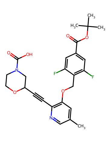 Cc1cnc(C#CC2CN(C(=O)O)CCO2)c(OCc2c(F)cc(C(=O)OC(C)(C)C)cc2F)c1